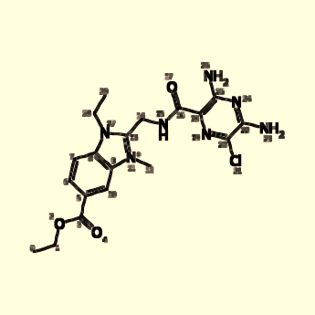 CCOC(=O)c1ccc2c(c1)[n+](C)c(CNC(=O)c1nc(Cl)c(N)nc1N)n2CC